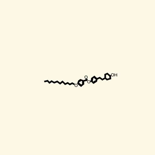 CCCCCCCCCCCCOc1ccc(C(=O)Oc2ccc(CCC3CCC(O)CC3)cc2)cc1